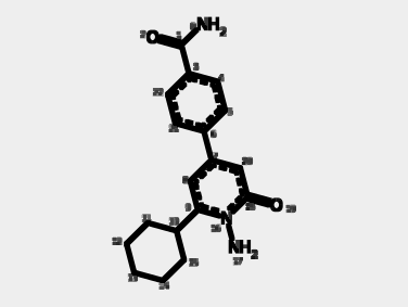 NC(=O)c1ccc(-c2cc(C3CCCCC3)n(N)c(=O)c2)cc1